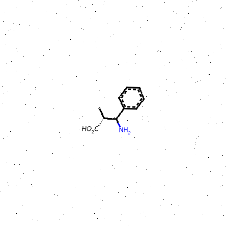 C[C@@H](C(=O)O)C(N)c1ccccc1